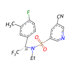 CCN([C@@H](c1ccc(F)c(C)c1)C(F)(F)F)S(=O)(=O)c1cncc(C#N)c1